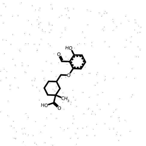 CC1(C(=O)O)CCCC(COc2cccc(O)c2C=O)C1